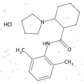 Cc1cccc(C)c1NC(=O)C1CCCCC1N1CCCC1.Cl